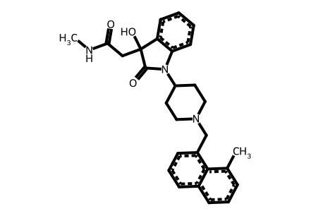 CNC(=O)CC1(O)C(=O)N(C2CCN(Cc3cccc4cccc(C)c34)CC2)c2ccccc21